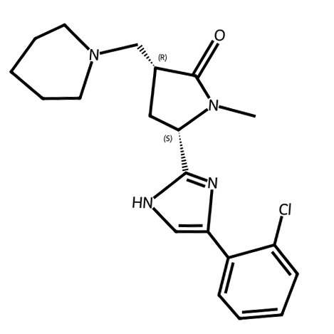 CN1C(=O)[C@@H](CN2CCCCC2)C[C@H]1c1nc(-c2ccccc2Cl)c[nH]1